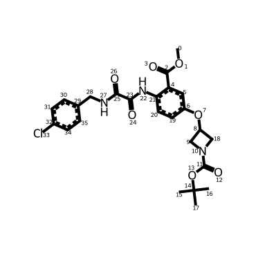 COC(=O)c1cc(OC2CN(C(=O)OC(C)(C)C)C2)ccc1NC(=O)C(=O)NCc1ccc(Cl)cc1